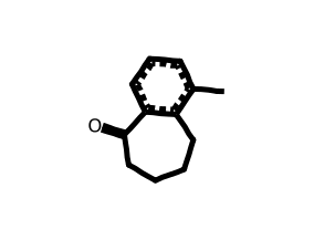 Cc1cccc2c1CCCCC2=O